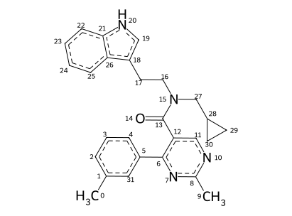 Cc1cccc(-c2nc(C)ncc2C(=O)N(CCc2c[nH]c3ccccc23)CC2CC2)c1